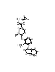 Cc1c(O[C@@H]2CCN(C(=O)OC3(C)CC3)C[C@@H]2F)ncnc1N1CCc2nnccc21